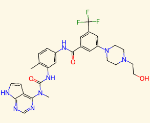 Cc1ccc(NC(=O)c2cc(N3CCN(CCO)CC3)cc(C(F)(F)F)c2)cc1NC(=O)N(C)c1ncnc2[nH]ccc12